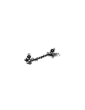 Cc1sc2c(c1C)C(c1ccc(Cl)cc1)=N[C@@H](CC(=O)NCCOCCOCCOCCNC(=O)c1nc3c(=O)[nH]c(N)nc3n1Cc1ccc(F)cc1)c1nnc(C)n1-2